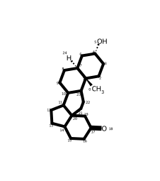 C[C@]12CC[C@@H](O)C[C@@H]1CCC1C3CCC4CCC(=O)CC43CCC12